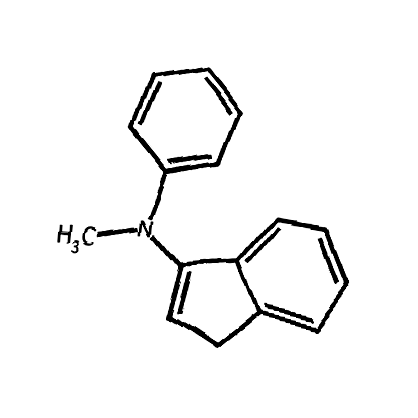 CN(C1=CCc2ccccc21)c1ccccc1